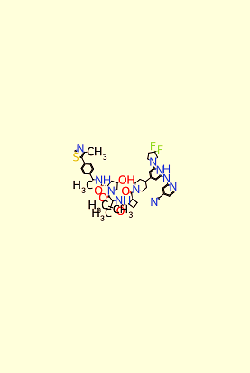 Cc1ncsc1-c1ccc([C@H](C)NC(=O)[C@@H]2C[C@@H](O)CN2C(=O)[C@@H](NC(=O)[C@H]2CC[C@@H]2C(=O)N2CCC(c3cc(Nc4cc(C#N)ccn4)nc(N4CCC(F)(F)C4)c3)CC2)C(C)(C)C)cc1